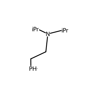 CC(C)N(CC[PH])C(C)C